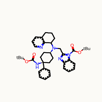 CC(C)(C)OC(=O)N[C@]1(c2ccccc2)CC[C@H](N(Cc2nc3ccccc3n2C(=O)OC(C)(C)C)C2CCCc3cccnc32)CC1